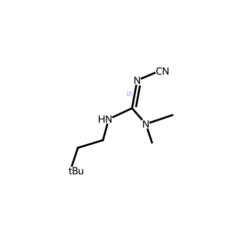 CN(C)/C(=N\C#N)NCCC(C)(C)C